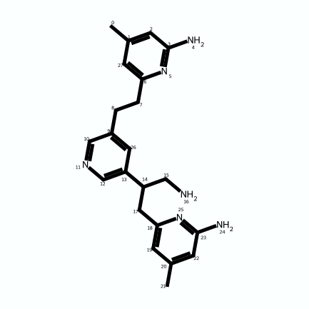 Cc1cc(N)nc(CCc2cncc(C(CN)Cc3cc(C)cc(N)n3)c2)c1